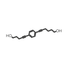 OCCCC#Cc1ccc(C#CCCCCO)cc1